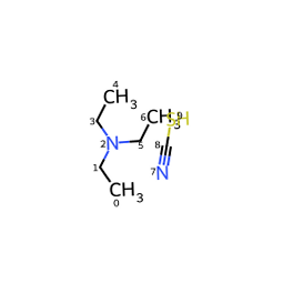 CCN(CC)CC.N#CS